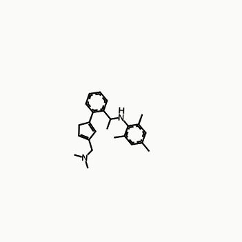 Cc1cc(C)c(NC(C)c2ccccc2C2=CC(CN(C)C)=CC2)c(C)c1